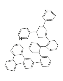 C1=CC(c2ccccc2-c2ccccc2-c2ccc3c4ccccc4c4ccccc4c3c2)=C(C2=CC(c3cccnc3)=CC(c3cccnc3)C2)CC1